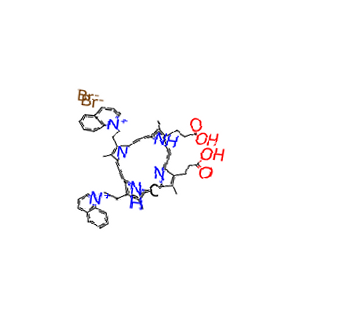 CC1=C(CCC(=O)O)c2cc3[nH]c(cc4nc(cc5[nH]c(cc1n2)c(C)c5CC[n+]1cccc2ccccc21)C(C)=C4CC[n+]1cccc2ccccc21)c(C)c3CCC(=O)O.[Br-].[Br-]